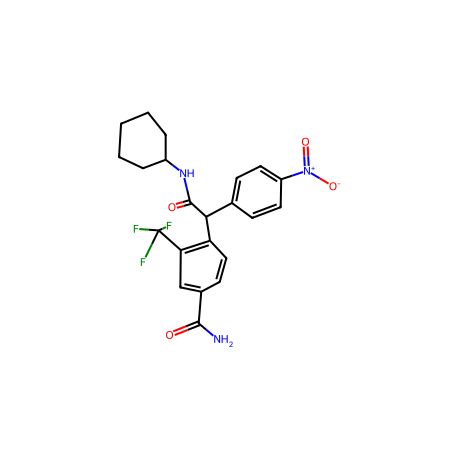 NC(=O)c1ccc(C(C(=O)NC2CCCCC2)c2ccc([N+](=O)[O-])cc2)c(C(F)(F)F)c1